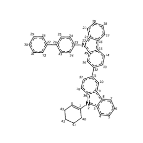 C1=C(n2c3ccccc3c3cc(-c4ccc5c6ccccc6n(-c6ccc(-c7ccccc7)cc6)c5c4)ccc32)CCCC1